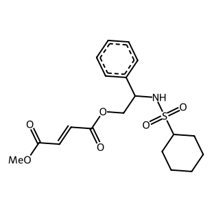 COC(=O)/C=C/C(=O)OCC(NS(=O)(=O)C1CCCCC1)c1ccccc1